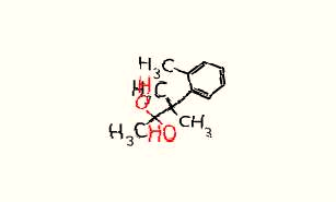 Cc1ccccc1C(C)(C)C(C)(O)O